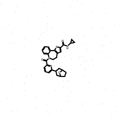 O=C(NC1CC1)c1cc2c(s1)-c1ccccc1N(C(=O)c1cccc(C3CC4CCC(C3)O4)n1)CC2